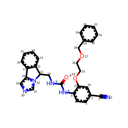 N#Cc1ccc(NC(=O)NCC2c3ccccc3-c3cncn32)c(OCCOCc2ccccc2)c1